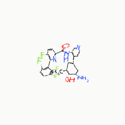 C[C@H]1C[C@@H](c2ccncc2NC(=O)c2ccc(F)c(-c3c(F)ccc(F)c3F)n2)C[C@@H](N)[C@@H]1O